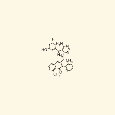 Cc1cccnc1-n1c(Cn2nc(-c3cc(O)cc(F)c3)c3c(N)ncnc32)cc2cccc(C)c2c1=O